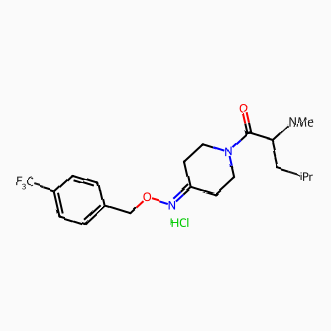 CNC(CC(C)C)C(=O)N1CCC(=NOCc2ccc(C(F)(F)F)cc2)CC1.Cl